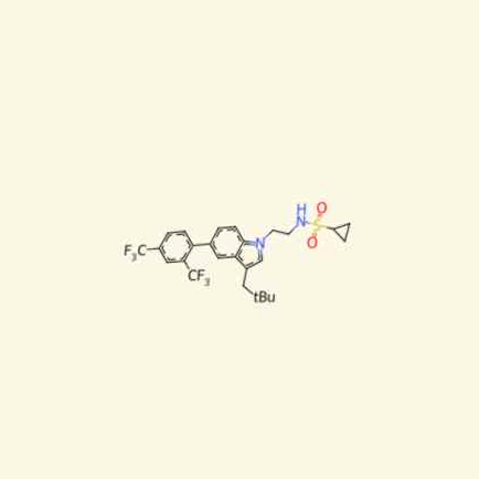 CC(C)(C)Cc1cn(CCNS(=O)(=O)C2CC2)c2ccc(-c3ccc(C(F)(F)F)cc3C(F)(F)F)cc12